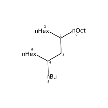 CCCCCCCCC(CCCCCC)CC(CCCC)CCCCCC